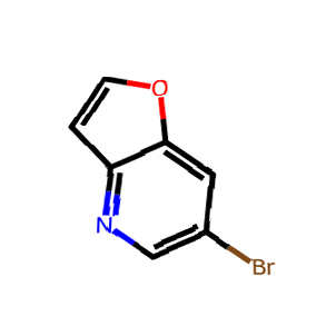 Brc1cnc2ccoc2c1